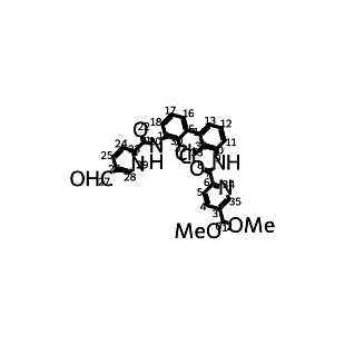 COC(OC)c1ccc(C(=O)Nc2cccc(-c3cccc(NC(=O)c4ccc(C=O)cn4)c3Cl)c2Cl)nc1